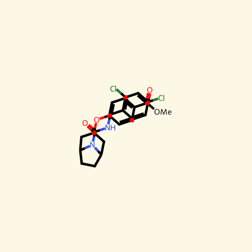 COC(=O)c1ccc(OC2CC3CCC(C2)N3C(=O)NCc2ccc(Cl)cc2Cl)cc1